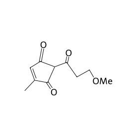 COCCC(=O)C1C(=O)C=C(C)C1=O